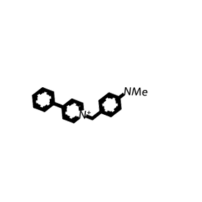 CNc1ccc(C[n+]2ccc(-c3ccccc3)cc2)cc1